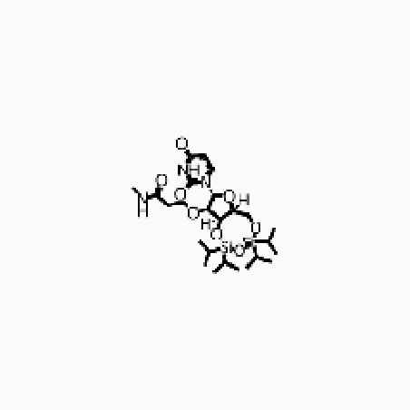 CNC(=O)CCO[C@@H]1[C@@H]2O[Si](C(C)C)(C(C)C)O[Si](C(C)C)(C(C)C)OC[C@H]2O[C@H]1n1ccc(=O)[nH]c1=O